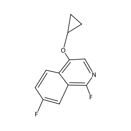 Fc1ccc2c(OC3CC3)cnc(F)c2c1